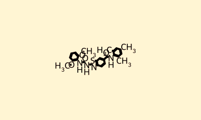 COc1cccc(OC)c1NC(=O)Nc1nc2ccc(C(=O)Nc3c(C)cc(C)cc3C)cc2s1